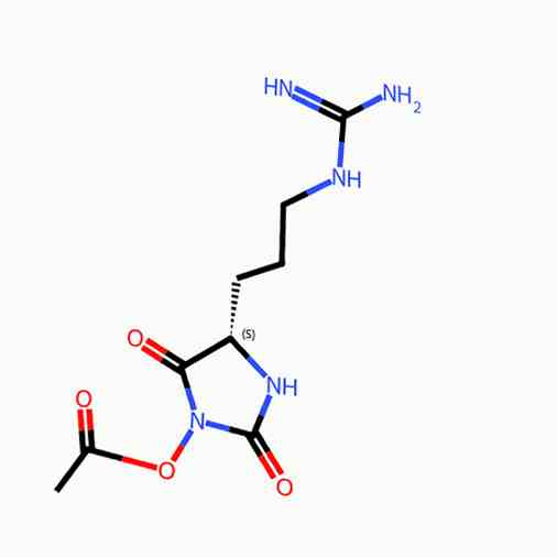 CC(=O)ON1C(=O)N[C@@H](CCCNC(=N)N)C1=O